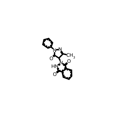 CC1=NN(c2ccccc2)C(=O)C1n1[nH]c(=O)c2ccccc2c1=O